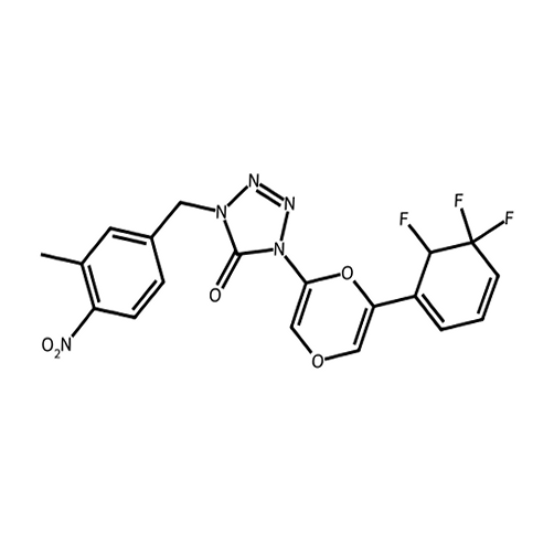 Cc1cc(Cn2nnn(C3=COC=C(C4=CC=CC(F)(F)C4F)O3)c2=O)ccc1[N+](=O)[O-]